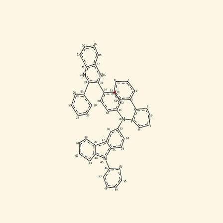 c1ccc(-c2ccccc2N(c2ccc(-c3nc4ccccc4nc3-c3ccccc3)cc2)c2ccc3c(c2)c2ccccc2n3-c2ccccc2)cc1